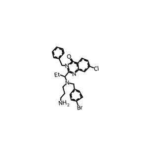 CCC(c1nc2cc(Cl)ccc2c(=O)n1Cc1ccccc1)N(CCCN)Cc1ccc(Br)cc1